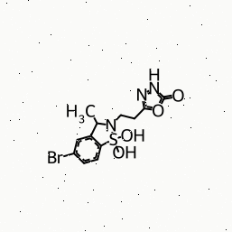 CC1c2cc(Br)ccc2S(O)(O)N1CCc1n[nH]c(=O)o1